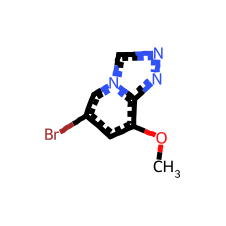 COc1cc(Br)cn2cnnc12